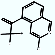 C=C(c1cccc2cnc(Cl)cc12)C(F)(F)F